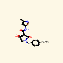 COc1ccc(CN2CC(=O)C(C(=O)Nc3cc(C)ns3)C2=O)cc1